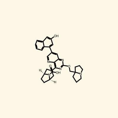 O=C(O)N1[C@@H]2CC[C@H]1CN(c1nc(OCC34CCCN3CCC4)nc3cc(-c4cc(O)cc5ccccc45)cnc13)C2